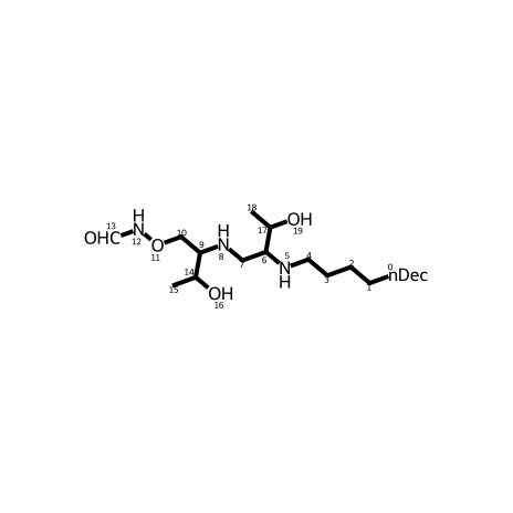 CCCCCCCCCCCCCCNC(CNC(CONC=O)C(C)O)C(C)O